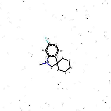 CN1CC2(CCCCC2)c2ccc(F)cc21